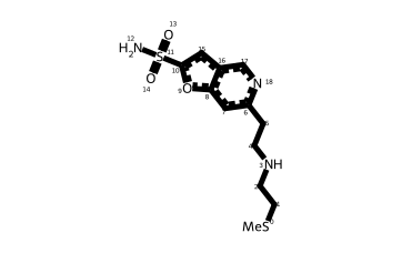 CSCCNCCc1cc2oc(S(N)(=O)=O)cc2cn1